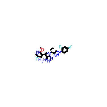 CC[C@@H](c1cn(-c2ccc(F)cc2F)nn1)n1cc(-c2cc(F)cnc2OC)c2c(N)ncnc21